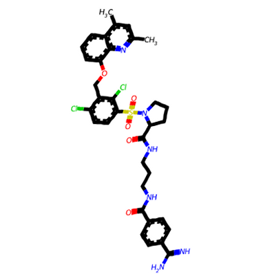 Cc1cc(C)c2cccc(OCc3c(Cl)ccc(S(=O)(=O)N4CCCC4C(=O)NCCCNC(=O)c4ccc(C(=N)N)cc4)c3Cl)c2n1